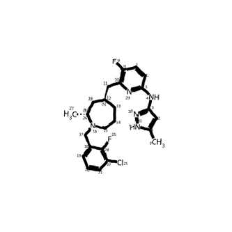 Cc1cc(Nc2ccc(F)c(C[C@H]3CCCN(Cc4cccc(Cl)c4F)[C@H](C)C3)n2)n[nH]1